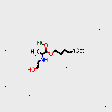 CCCCCCCCCCCCOC(=O)C(C)NCCO.Cl